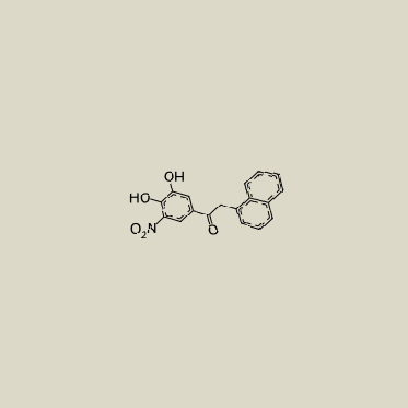 O=C(Cc1cccc2ccccc12)c1cc(O)c(O)c([N+](=O)[O-])c1